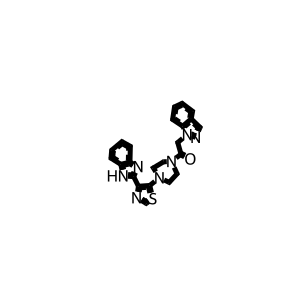 O=C(Cn1ncc2ccccc21)N1CCN(c2scnc2-c2nc3ccccc3[nH]2)CC1